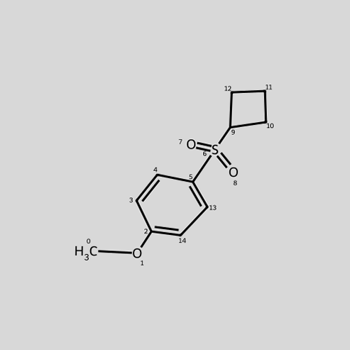 COc1ccc(S(=O)(=O)C2CCC2)cc1